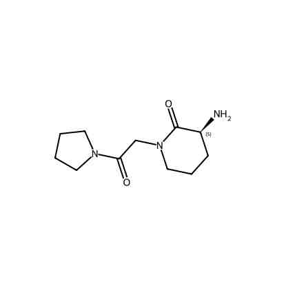 N[C@H]1CCCN(CC(=O)N2CCCC2)C1=O